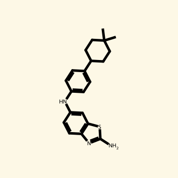 CC1(C)CCC(c2ccc(Nc3ccc4nc(N)sc4c3)cc2)CC1